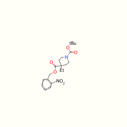 CCC1(C(=O)OCc2ccccc2[N+](=O)[O-])CCN(C(=O)OC(C)(C)C)CC1